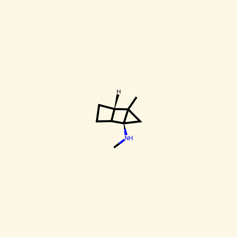 CN[C@]12CC1(C)[C@H]1CCC12